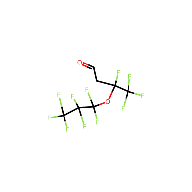 O=CCC(F)(OC(F)(F)C(F)(F)C(F)(F)F)C(F)(F)F